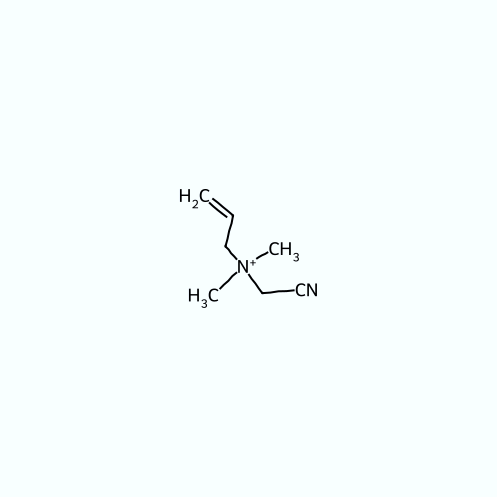 C=CC[N+](C)(C)CC#N